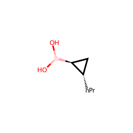 CCC[C@H]1C[C@@H]1B(O)O